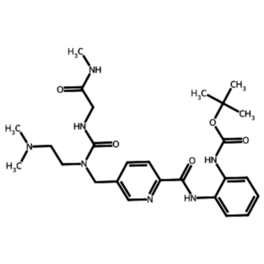 CNC(=O)CNC(=O)N(CCN(C)C)Cc1ccc(C(=O)Nc2ccccc2NC(=O)OC(C)(C)C)nc1